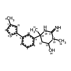 Cc1csc(-c2cccc(C3(C)CC(O)N(C)C(=N)N3)c2)c1